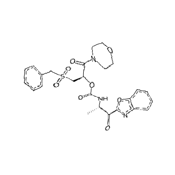 C[C@H](NC(=O)O[C@@H](CS(=O)(=O)Cc1ccccc1)C(=O)N1CCOCC1)C(=O)c1nc2ccccc2o1